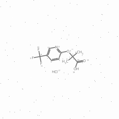 CC(C)(Oc1ccc(C(F)(F)F)cn1)C(=O)O.Cl